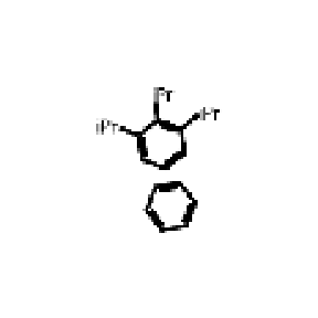 CC(C)c1cccc(C(C)C)c1C(C)C.c1ccccc1